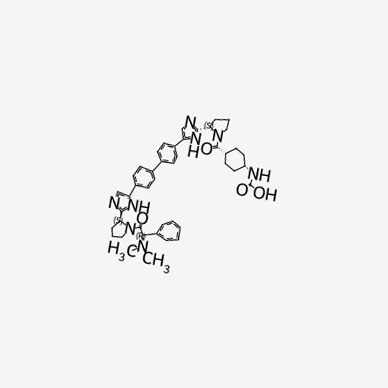 CN(C)[C@@H](C(=O)N1CCC[C@H]1c1ncc(-c2ccc(-c3ccc(-c4cnc([C@@H]5CCCN5C(=O)[C@H]5CC[C@@H](NC(=O)O)CC5)[nH]4)cc3)cc2)[nH]1)c1ccccc1